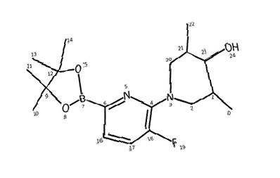 CC1CN(c2nc(B3OC(C)(C)C(C)(C)O3)ccc2F)CC(C)C1O